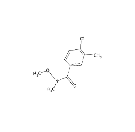 CON(C)C(=O)c1ccc(Cl)c(C)c1